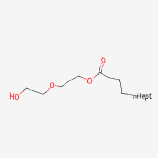 CCCCCCCCCC(=O)OCCOCCO